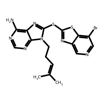 CC(C)=CCCn1c(Sc2nc3cncc(Br)c3s2)nc2c(N)ncnc21